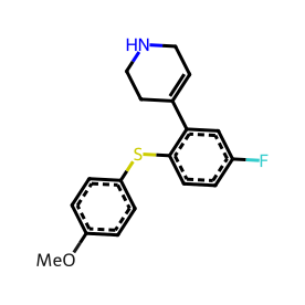 COc1ccc(Sc2ccc(F)cc2C2=CCNCC2)cc1